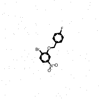 O=[N+]([O-])c1ccc(Br)c(OCc2ccc(F)cc2)c1